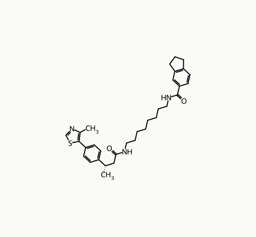 Cc1ncsc1-c1ccc([C@@H](C)CC(=O)NCCCCCCCCNC(=O)c2ccc3c(c2)CCC3)cc1